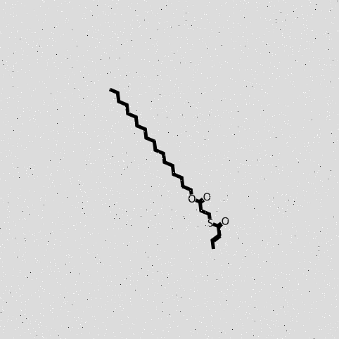 C/C=C/C(=O)SCCC(=O)OCCCCCCCCCCCCCCCCCC